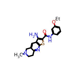 CCOc1cccc(NC(=O)c2sc3nc4c(cc3c2N)CN(C)CC4)c1